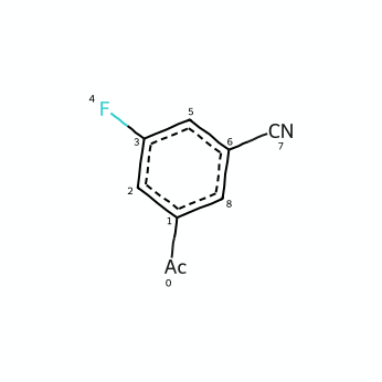 [CH2]C(=O)c1cc(F)cc(C#N)c1